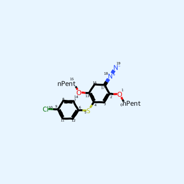 CCCCCOC1=CC(Sc2ccc(Cl)cc2)=C(OCCCCC)CC1=[N+]=[N-]